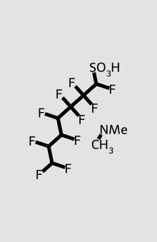 CNC.O=S(=O)(O)C(F)C(F)(F)C(F)(F)C(F)C(F)C(F)C(F)F